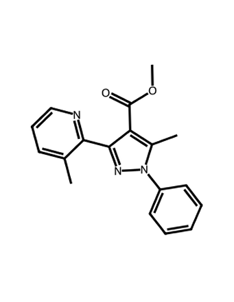 COC(=O)c1c(-c2ncccc2C)nn(-c2ccccc2)c1C